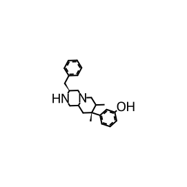 CC1CN2C[C@H](Cc3ccccc3)NCC2C[C@@]1(C)c1cccc(O)c1